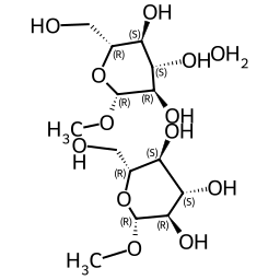 CO[C@@H]1O[C@H](CO)[C@@H](O)[C@H](O)[C@H]1O.CO[C@@H]1O[C@H](CO)[C@@H](O)[C@H](O)[C@H]1O.O